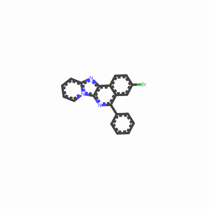 Brc1ccc2c(c1)c(-c1ccccc1)nc1c2nc2ccccn21